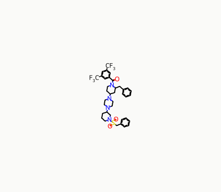 O=C(c1cc(C(F)(F)F)cc(C(F)(F)F)c1)N1CCC(N2CCN(C3CCCN(S(=O)(=O)Cc4ccccc4)C3)CC2)CC1Cc1ccccc1